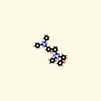 c1ccc(-c2nc(-c3ccccc3)nc(-c3ccc4oc5c(-c6nc(-c7ccccc7)nc(-c7cccc8oc9ccccc9c78)n6)cccc5c4c3)n2)cc1